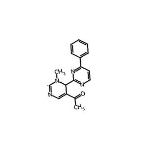 CC(=O)C1=CN=[C]N(C)C1c1nccc(-c2ccccc2)n1